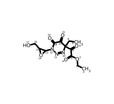 CCOC(=O)C(=O)C1(CC)N=NN(C2OC2CO)C(=O)C1=O